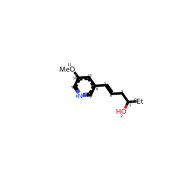 CCC(O)CC=Cc1cncc(OC)c1